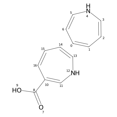 C1=CC=CNC=C1.O=C(O)C1=CNC=CC=C1